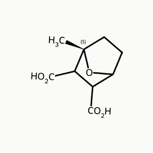 C[C@@]12CCC(O1)C(C(=O)O)C2C(=O)O